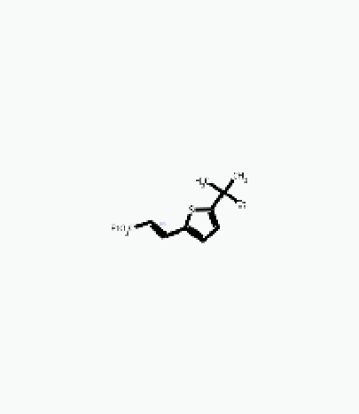 CCOC(=O)/C=C/c1ccc(C(C)(C)CC)s1